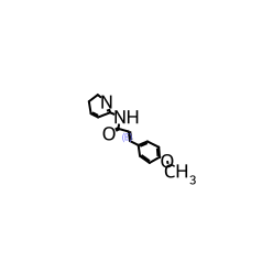 COc1ccc(/C=C/C(=O)NC2=NCCC=C2)cc1